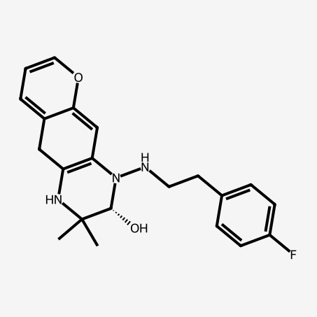 CC1(C)NC2=C(C=C3OC=CC=C3C2)N(NCCc2ccc(F)cc2)[C@@H]1O